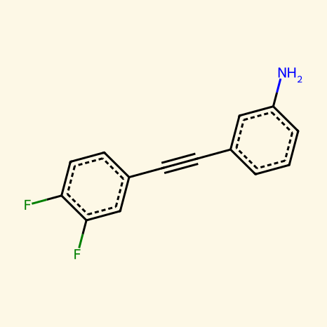 Nc1cccc(C#Cc2ccc(F)c(F)c2)c1